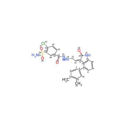 Cc1ccc(-c2cccc3c2C(=CCNNC(=O)c2ccc(Cl)c(S(N)(=O)=O)c2)C(=O)N3)cc1C